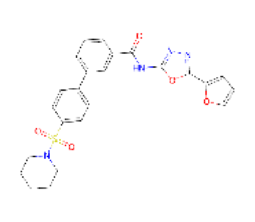 O=C(Nc1nnc(-c2ccco2)o1)c1cccc(-c2ccc(S(=O)(=O)N3CCCCC3)cc2)c1